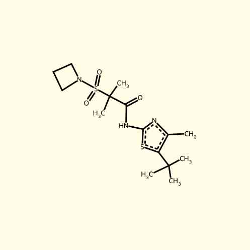 Cc1nc(NC(=O)C(C)(C)S(=O)(=O)N2CCC2)sc1C(C)(C)C